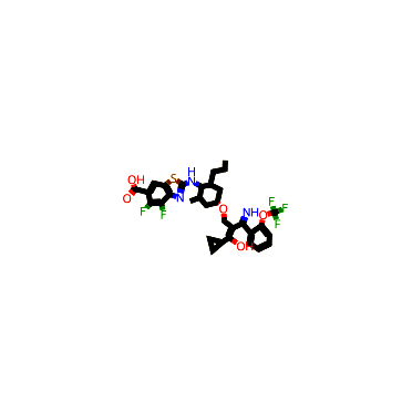 CCCC1CC(OC/C(C(=N)c2ccccc2OC(F)(F)F)=C(/O)C2CC2)CC(C)C1Nc1nc2c(F)c(F)c(C(=O)O)cc2s1